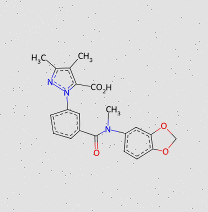 Cc1nn(-c2cccc(C(=O)N(C)c3ccc4c(c3)OCO4)c2)c(C(=O)O)c1C